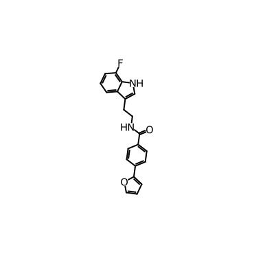 O=C(NCCc1c[nH]c2c(F)cccc12)c1ccc(-c2ccco2)cc1